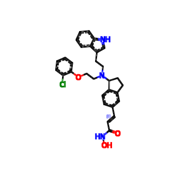 O=C(/C=C/c1ccc2c(c1)CCC2N(CCOc1ccccc1Cl)CCc1c[nH]c2ccccc12)NO